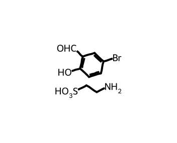 NCCS(=O)(=O)O.O=Cc1cc(Br)ccc1O